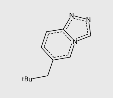 CC(C)(C)Cc1ccc2nncn2c1